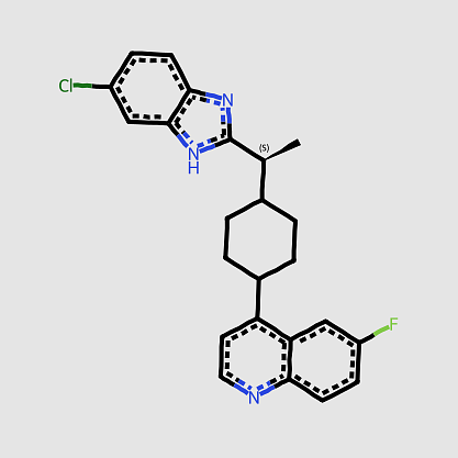 C[C@H](c1nc2ccc(Cl)cc2[nH]1)C1CCC(c2ccnc3ccc(F)cc23)CC1